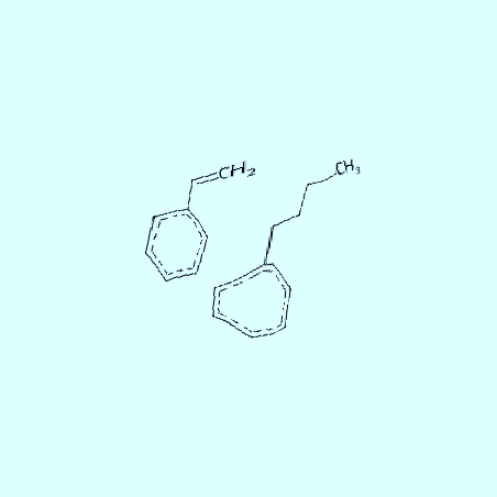 C=Cc1ccccc1.CCCCc1ccccc1